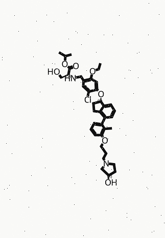 CCOc1cc(O[C@H]2CCc3c(-c4cccc(OCCCN5CC[C@@H](O)C5)c4C)cccc32)c(Cl)cc1CN[C@@H](CO)C(=O)OC(C)C